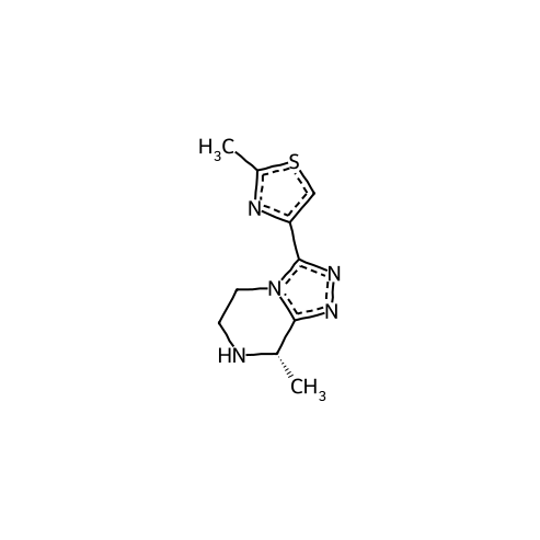 Cc1nc(-c2nnc3n2CCN[C@H]3C)cs1